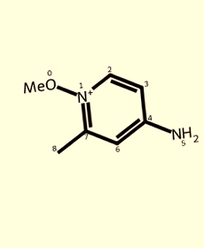 CO[n+]1ccc(N)cc1C